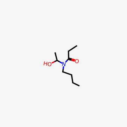 CCCCN(C(=O)CC)C(C)O